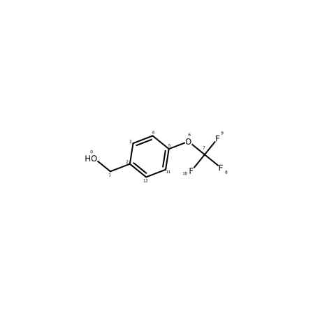 OCc1[c]cc(OC(F)(F)F)cc1